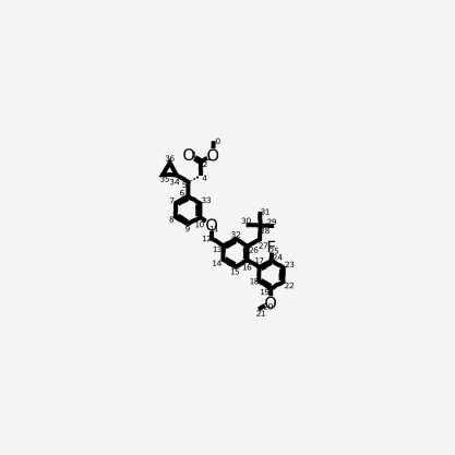 COC(=O)C[C@H](c1cccc(OCc2ccc(-c3cc(OC)ccc3F)c(CC(C)(C)C)c2)c1)C1CC1